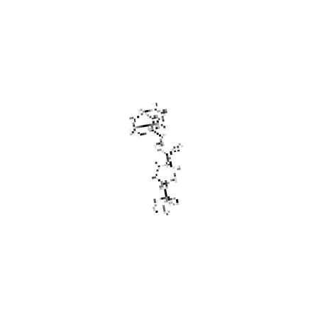 NCC(=O)N1CCN(C(=O)OCC23CC4CC(CC(C4)C2)C3)CC1